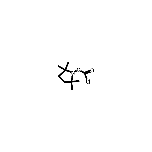 CC1(C)CCC(C)(C)N1OC(=O)Cl